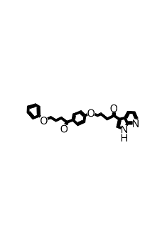 O=C(CCCOc1ccccc1)c1ccc(OCCCC(=O)c2c[nH]c3ncccc23)cc1